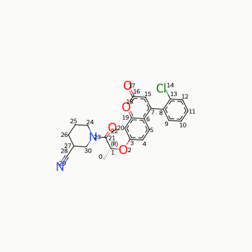 C[C@@H](Oc1ccc2c(-c3ccccc3Cl)cc(=O)oc2c1)C(=O)N1CCCC(C#N)C1